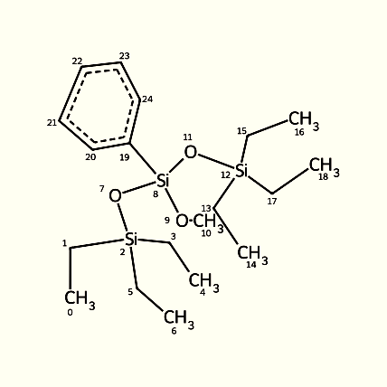 CC[Si](CC)(CC)O[Si](OC)(O[Si](CC)(CC)CC)c1ccccc1